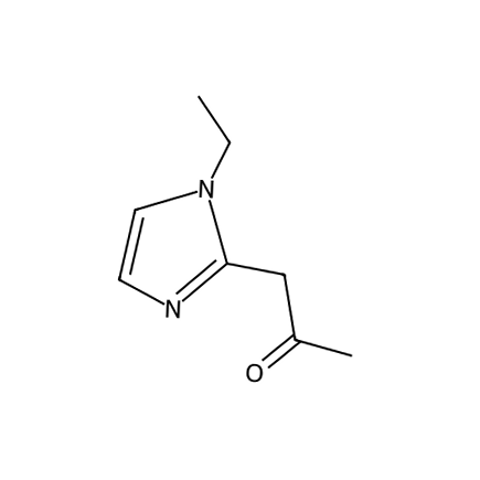 CCn1ccnc1CC(C)=O